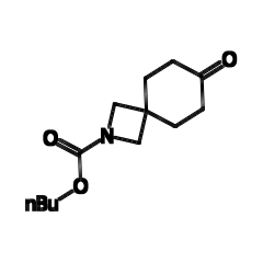 CCCCOC(=O)N1CC2(CCC(=O)CC2)C1